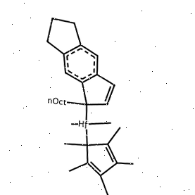 CCCCCCCC[C]1([Hf]([CH3])([CH3])[C]2(C)C(C)=C(C)C(C)=C2C)C=Cc2cc3c(cc21)CCC3